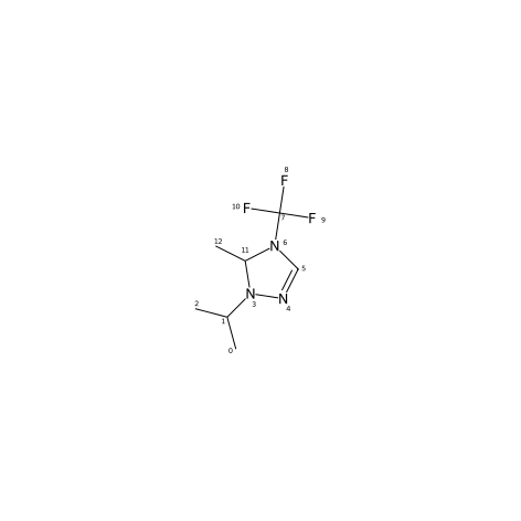 CC(C)N1N=CN(C(F)(F)F)C1C